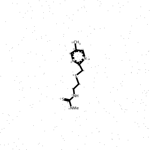 CNC(=S)NCCSCc1ncc(C)cn1